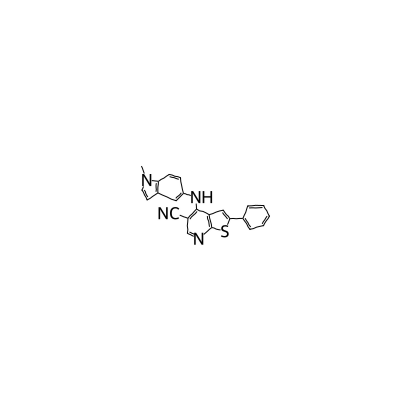 Cn1ccc2cc(Nc3c(C#N)cnc4sc(-c5ccccc5)cc34)ccc21